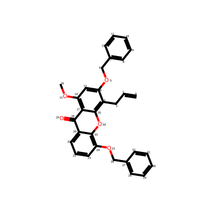 C=CCc1c(OCc2ccccc2)cc(OC)c2c(=O)c3cccc(OCc4ccccc4)c3oc12